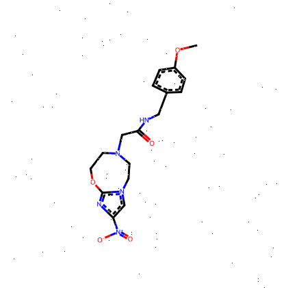 COc1ccc(CNC(=O)CN2CCOc3nc([N+](=O)[O-])cn3CC2)cc1